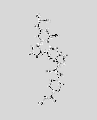 COC(=O)C1CCC(NC(=O)c2cnn3ccc(N4CCCC4c4cc(F)cc(OC(F)F)c4)cc23)CC1